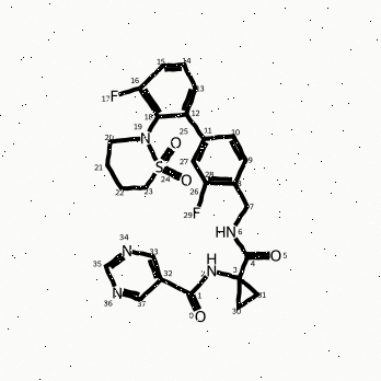 O=C(NC1(C(=O)NCc2ccc(-c3cccc(F)c3N3CCCCS3(=O)=O)cc2F)CC1)c1cncnc1